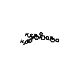 CN1CC[C@H](N(C)c2ccc(-n3ccc(OCc4ccc(Cl)cn4)cc3=O)cn2)C1